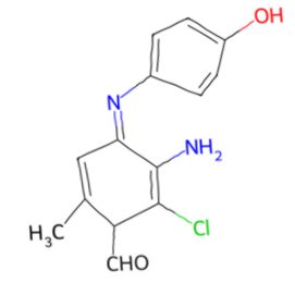 CC1=CC(=Nc2ccc(O)cc2)C(N)=C(Cl)C1C=O